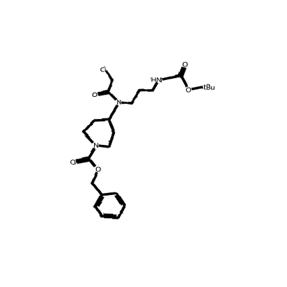 CC(C)(C)OC(=O)NCCCN(C(=O)CCl)C1CCN(C(=O)OCc2ccccc2)CC1